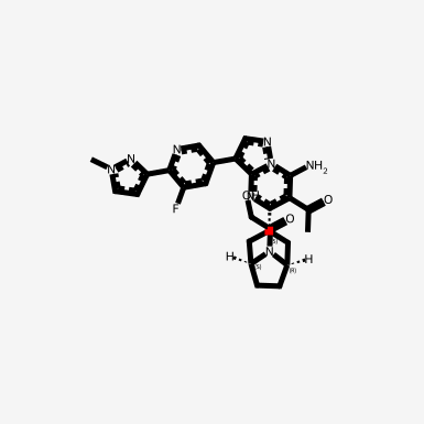 CC(=O)c1c([C@@H]2C[C@H]3CC[C@@H](C2)N3C(=O)CO)nc2c(-c3cnc(-c4ccn(C)n4)c(F)c3)cnn2c1N